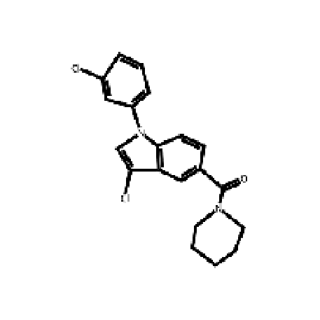 O=C(c1ccc2c(c1)c(Cl)cn2-c1cccc(Cl)c1)N1CCCCC1